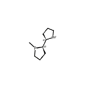 CP1CCC[C@@H]1[C@H]1CCCP1